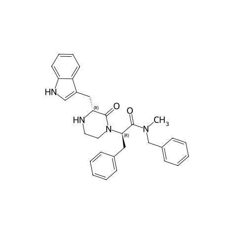 CN(Cc1ccccc1)C(=O)[C@@H](Cc1ccccc1)N1CCN[C@H](Cc2c[nH]c3ccccc23)C1=O